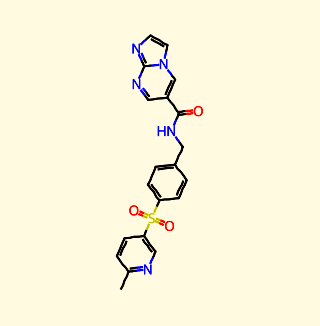 Cc1ccc(S(=O)(=O)c2ccc(CNC(=O)c3cnc4nccn4c3)cc2)cn1